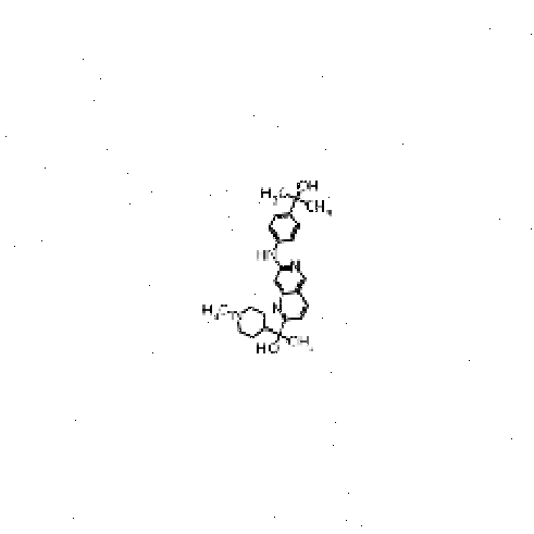 CN1CCC(C(C)(O)c2ccc3cnc(Nc4ccc(C(C)(C)O)cc4)cc3n2)CC1